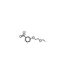 CCOCCOc1cccc([N+](=O)[O-])c1